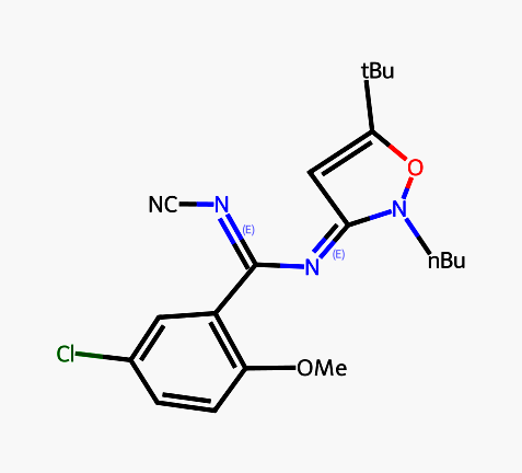 CCCCn1oc(C(C)(C)C)c/c1=N\C(=N\C#N)c1cc(Cl)ccc1OC